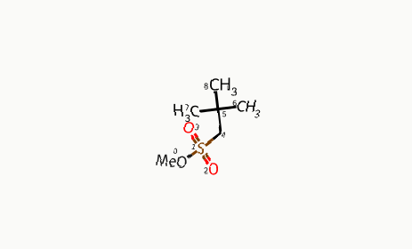 [CH2]OS(=O)(=O)CC(C)(C)C